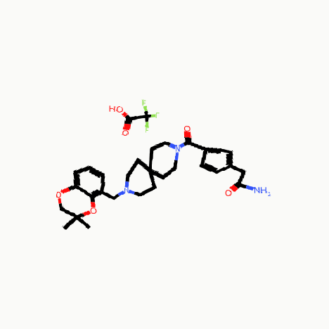 CC1(C)COc2cccc(CN3CCC4(CC3)CCN(C(=O)c3ccc(CC(N)=O)cc3)CC4)c2O1.O=C(O)C(F)(F)F